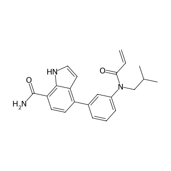 C=CC(=O)N(CC(C)C)c1cccc(-c2ccc(C(N)=O)c3[nH]ccc23)c1